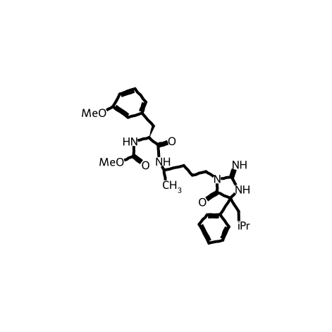 COC(=O)N[C@@H](Cc1cccc(OC)c1)C(=O)NC(C)CCCN1C(=N)NC(CC(C)C)(c2ccccc2)C1=O